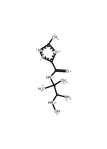 Cc1nnc(C(=O)NC(C)(C)C(N)NO)o1